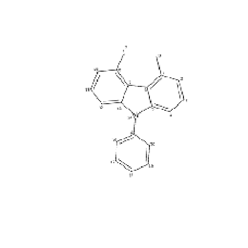 Cc1cccc2c1c1c(I)cccc1n2-c1ccccc1